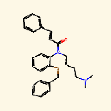 CN(C)CCCCN(C(=O)C=Cc1ccccc1)c1ccccc1SCc1ccccc1